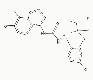 Cn1c(=O)ccc2c(NC(=O)N[C@@H]3CC(CF)(CF)Oc4cc(Cl)ccc43)cccc21